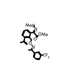 C=C(C)c1cccc(/C(=N\OC)C(=O)OC)c1CO/N=C(\C)c1cccc(C(F)(F)F)c1